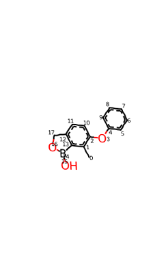 Cc1c(Oc2ccccc2)ccc2c1B(O)OC2